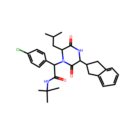 CC(C)CC1C(=O)NC(C2Cc3ccccc3C2)C(=O)N1C(C(=O)NC(C)(C)C)c1ccc(Cl)cc1